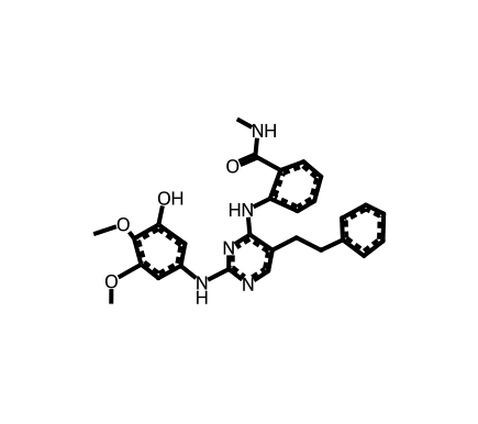 CNC(=O)c1ccccc1Nc1nc(Nc2cc(O)c(OC)c(OC)c2)ncc1CCc1ccccc1